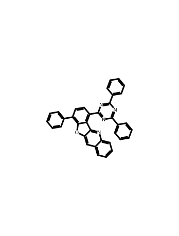 c1ccc(-c2nc(-c3ccccc3)nc(-c3ccc(-c4ccccc4)c4oc5cc6ccccc6nc5c34)n2)cc1